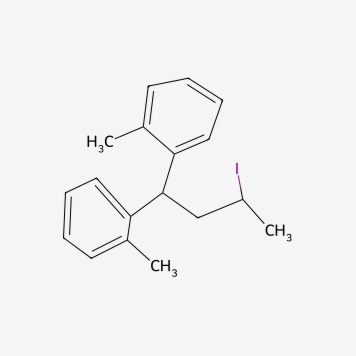 Cc1ccccc1C(CC(C)I)c1ccccc1C